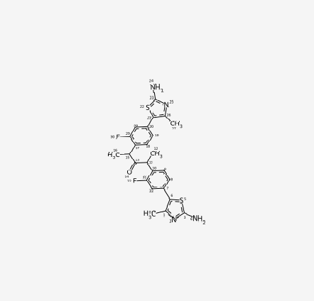 Cc1nc(N)sc1-c1ccc(C(C)C(=O)C(C)c2ccc(-c3sc(N)nc3C)cc2F)c(F)c1